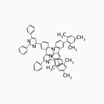 Cc1cc(C)c(-c2ccc3c(c2)c2cc(-c4c(C)cc(C)cc4C)ccc2n3-c2ccc(-c3cc(-c4ccccc4)nc(-c4ccccc4)n3)cc2-c2cc(-c3ccccc3)nc(-c3ccccc3)n2)c(C)c1